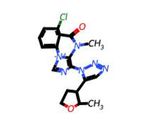 CC1OCCC1c1cnnn1C1=C2N(C)C(=O)c3c(Cl)cccc3[N+]2C=N1